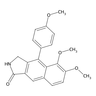 COc1ccc(-c2c3c(cc4ccc(OC)c(OC)c24)C(=O)NC3)cc1